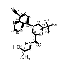 C[C@@H](O)CNC(=O)[C@H]1CN(c2ccc(C#N)c3nccnc23)C[C@@H](C(F)(F)F)O1